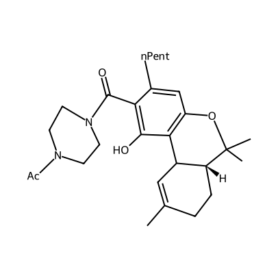 CCCCCc1cc2c(c(O)c1C(=O)N1CCN(C(C)=O)CC1)C1C=C(C)CC[C@H]1C(C)(C)O2